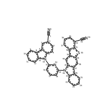 N#Cc1ccc2c(c1)c1ccccc1n2-c1cccc(-n2c3ccccc3c3cc4sc5c(C#N)cccc5c4cc32)n1